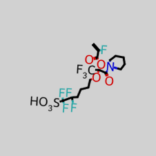 C=C(F)C(=O)OC(OCCCCC(F)(F)C(F)(F)S(=O)(=O)O)(C(=O)N1CCCCC1)C(F)(F)F